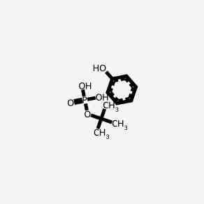 CC(C)(C)OP(=O)(O)O.Oc1ccccc1